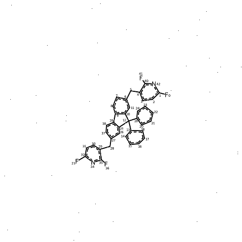 Fc1ccc(Cc2ccc3c(c2)C(c2ccccc2)(c2ccccc2)c2cc(Cc4ccc(F)nc4F)ccc2-3)c(F)n1